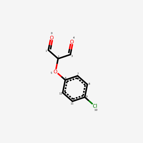 O=CC(C=O)Oc1ccc(Cl)cc1